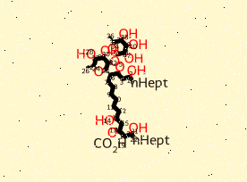 CCCCCCCC(O)CC(=O)C(CCCCCCC(O)CC(=O)C(C(=O)O)C(O)CCCCCCC)[C@@H]1O[C@@H](C)[C@H](O)[C@@H](O)[C@H]1O[C@@H]1O[C@@H](C)[C@H](O)[C@@H](O)[C@H]1O